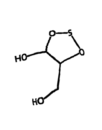 OCC1OSOC1O